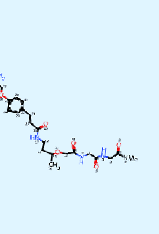 CNC(=O)CNC(=O)CNC(=O)COC(C)CCNC(=O)CCc1ccc(OCCN)cc1